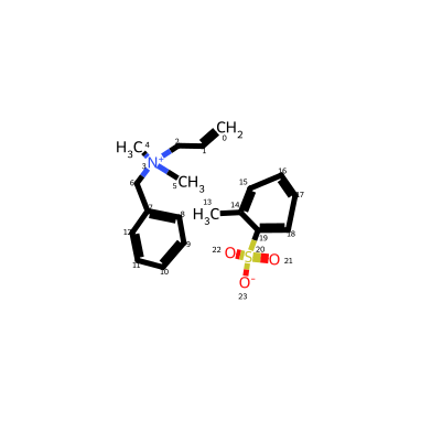 C=CC[N+](C)(C)Cc1ccccc1.Cc1ccccc1S(=O)(=O)[O-]